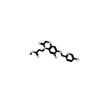 COC(=O)CCN1C(=O)COc2cc(OCc3ccc(Cl)cn3)c(Cl)cc21